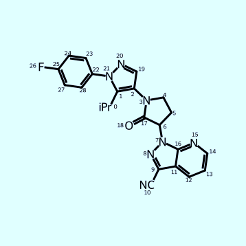 CC(C)c1c(N2CCC(n3nc(C#N)c4cccnc43)C2=O)cnn1-c1ccc(F)cc1